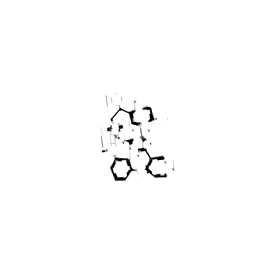 COc1cnc([C@H](O)[C@@H](C)S(=O)(=O)Nc2nnc(-c3cccnc3)n2-c2c(OC)cccc2OC)cn1